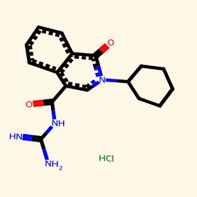 Cl.N=C(N)NC(=O)c1cn(C2CCCCC2)c(=O)c2ccccc12